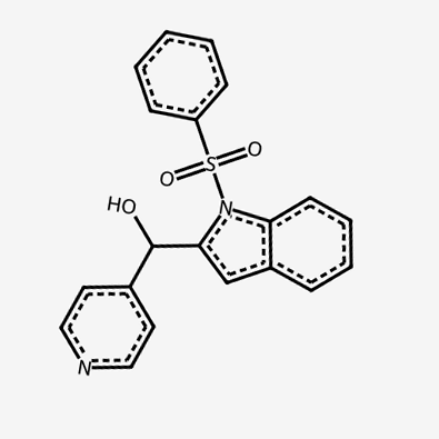 O=S(=O)(c1ccccc1)n1c(C(O)c2ccncc2)cc2ccccc21